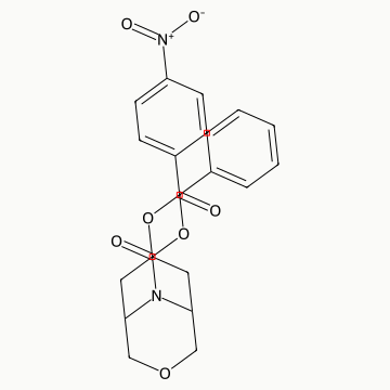 O=C(OC1CC2COCC(C1)N2C(=O)OCc1ccccc1)c1ccc([N+](=O)[O-])cc1